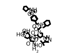 CC(C)(O)c1cnnn1[C@@H]1C[C@@H](C(=O)NC2(C(=O)C(N)=O)CCS(O)(O)CC2)N(C(=O)[C@@H](CC2CCCCC2)NC(=O)c2ccc(S(=O)(=O)NC3CCCC3)cc2)C1